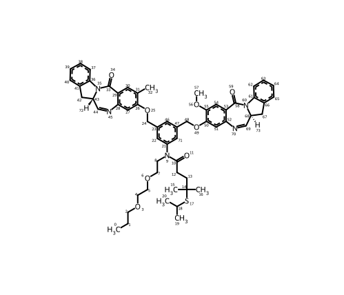 CCCOCCOCCN(C(=O)CCC(C)(C)SC(C)C)c1cc(COc2cc3c(cc2C)C(=O)N2c4ccccc4C[C@H]2C=N3)cc(COc2cc3c(cc2OC)C(=O)N2c4ccccc4C[C@H]2C=N3)c1